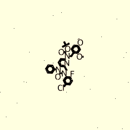 COc1ccc(CN(C(=O)OC(C)(C)C)c2ccc3c(n2)CN(c2cc(Cl)ccc2F)C(=O)N3c2ccccc2)c(OC)c1